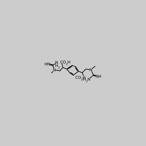 CN(CC(C(=O)O)c1ccc(C(CN(C)C(=N)N)C(=O)O)cc1)C(=N)N